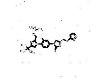 C[SiH](C)OCc1nc(C(C)(C)C)cn1-c1ccc(N2C[C@H](COc3ccon3)OC2=O)cc1F